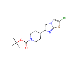 CC(C)(C)OC(=O)N1CCC(c2cn3cc(Br)sc3n2)CC1